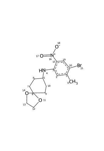 Cc1cc(NC2CCC3(CC2)OCCO3)c([N+](=O)[O-])cc1Br